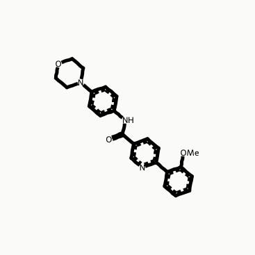 COc1ccccc1-c1ccc(C(=O)Nc2ccc(N3CCOCC3)cc2)cn1